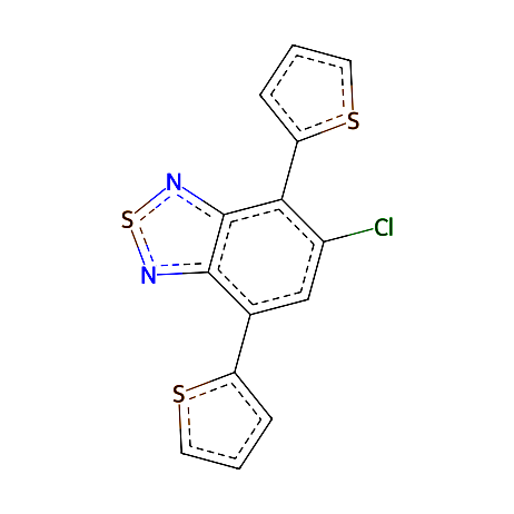 Clc1cc(-c2cccs2)c2nsnc2c1-c1cccs1